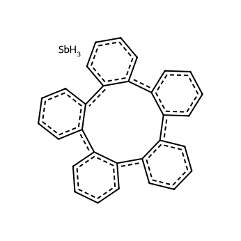 [SbH3].c1ccc2c(c1)c1ccccc1c1ccccc1c1ccccc1c1ccccc21